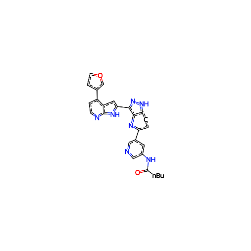 CCCCC(=O)Nc1cncc(-c2ccc3[nH]nc(-c4cc5c(-c6ccoc6)ccnc5[nH]4)c3n2)c1